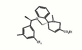 CCOC(=O)C1=CC[C@@](CO[C@H](C)c2cc(C)cc(C(F)(F)F)c2)(c2ccccc2)N(C)C1